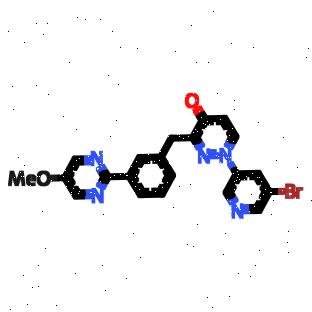 COc1cnc(-c2cccc(Cc3nn(-c4cncc(Br)c4)ccc3=O)c2)nc1